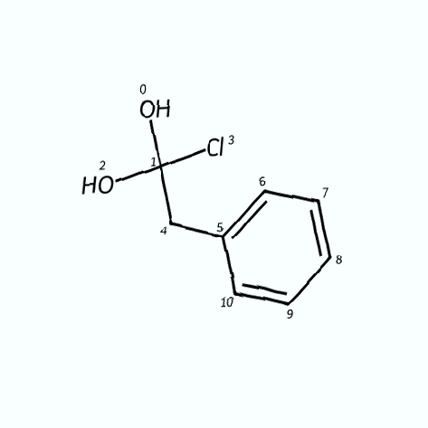 OC(O)(Cl)Cc1ccccc1